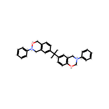 CC(C)(c1ccc2c(c1)CN(c1ccccc1)OC2)c1ccc2c(c1)CN(c1ccccc1)CO2